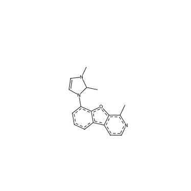 Cc1nccc2c1oc1c(N3C=CN(C)C3C)cccc12